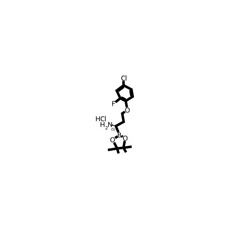 CC1(C)OB([C@H](N)CCOc2ccc(Cl)cc2F)OC1(C)C.Cl